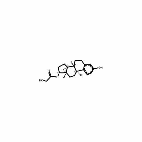 C[C@]12CC[C@@H]3c4ccc(O)cc4CC[C@H]3[C@@H]1CC[C@@H]2OC(=O)CO